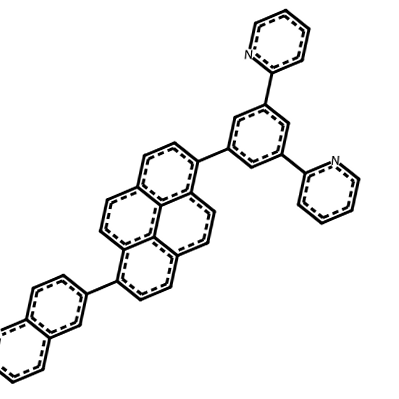 c1ccc(-c2cc(-c3ccccn3)cc(-c3ccc4ccc5c(-c6ccc7ncccc7c6)ccc6ccc3c4c65)c2)nc1